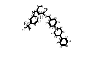 CCc1nc2cc(C(F)(F)F)ccn2c1C(=O)NCc1ccc(N2CCC(c3ccccc3)CC2)cc1